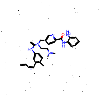 C=C/C=C\c1cc(NC(=C)N(CCN(C)C)Cc2ccc(C(=O)Nc3ccccc3N)nc2)ccc1C